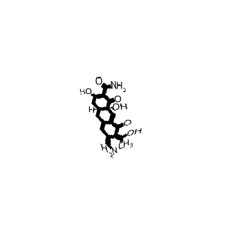 C/C(O)=C1/C(=O)C2=C[C@]3(O)C(=O)C(C(N)=O)=C(O)C[C@@H]3CC2C/C1=C/N